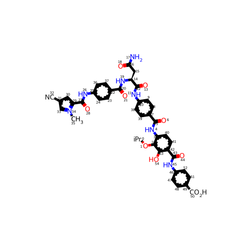 CC(C)Oc1c(NC(=O)c2ccc(NC(=O)[C@H](CC(N)=O)NC(=O)c3ccc(NC(=O)c4cc(C#N)cn4C)cc3)cc2)ccc(C(=O)Nc2ccc(C(=O)O)cc2)c1O